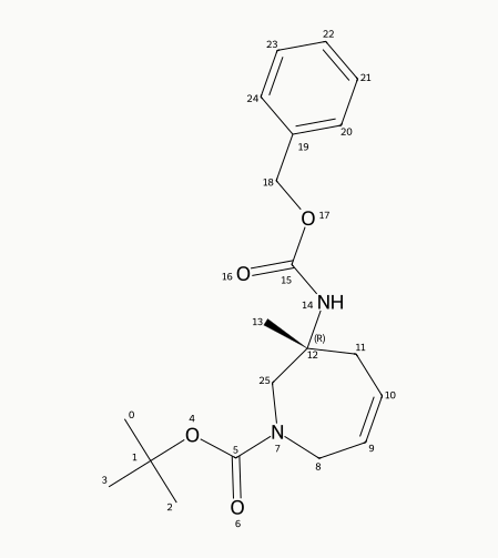 CC(C)(C)OC(=O)N1CC=CC[C@@](C)(NC(=O)OCc2ccccc2)C1